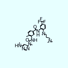 CNc1cc(N(C)C(=O)Nc2cc(C(=O)Nc3cc(C(F)(F)F)ccc3N(C)CCCN(C)C)ccc2C)ncn1